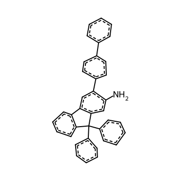 Nc1cc2c(cc1-c1ccc(-c3ccccc3)cc1)-c1ccccc1C2(c1ccccc1)c1ccccc1